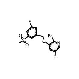 CS(=O)(=O)c1cc(F)cc(COc2cc(F)cnc2Br)c1